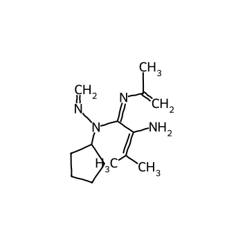 C=NN(/C(=N/C(=C)C)C(N)=C(C)C)C1CCCC1